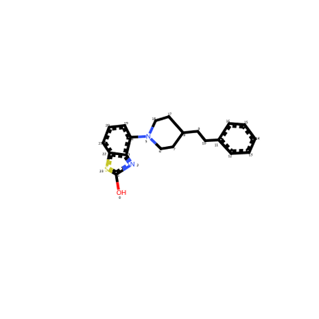 Oc1nc2c(N3CCC(CCc4ccccc4)CC3)cccc2s1